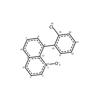 [O-][n+]1cccc2cccc(-c3ccccc3Cl)c21